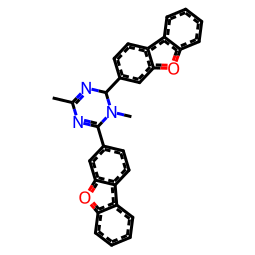 CC1=NC(c2ccc3c(c2)oc2ccccc23)N(C)C(c2ccc3c(c2)oc2ccccc23)=N1